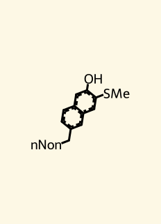 CCCCCCCCCCc1ccc2cc(O)c(SC)cc2c1